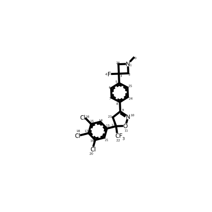 CN1CC(F)(c2ccc(C3=NOC(c4cc(Cl)c(Cl)c(Cl)c4)(C(F)(F)F)C3)cc2)C1